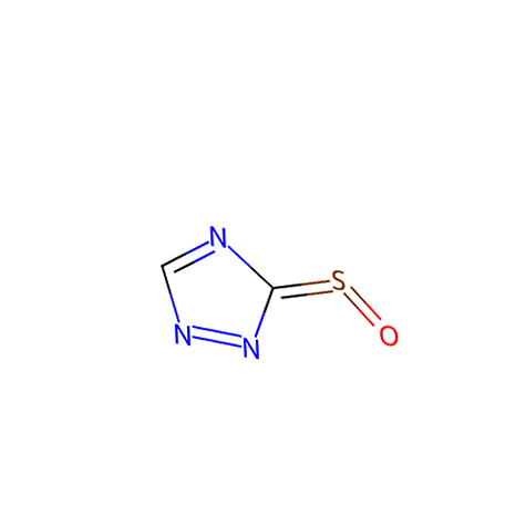 O=S=C1N=CN=N1